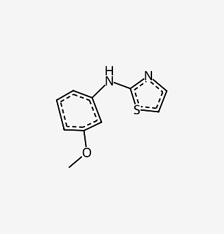 COc1cccc(Nc2nccs2)c1